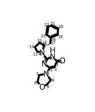 O=c1cc(N2CCOCC2)nc(N2CCC[C@@H]2Cc2ccccc2)[nH]1